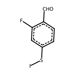 O=Cc1ccc(SI)cc1F